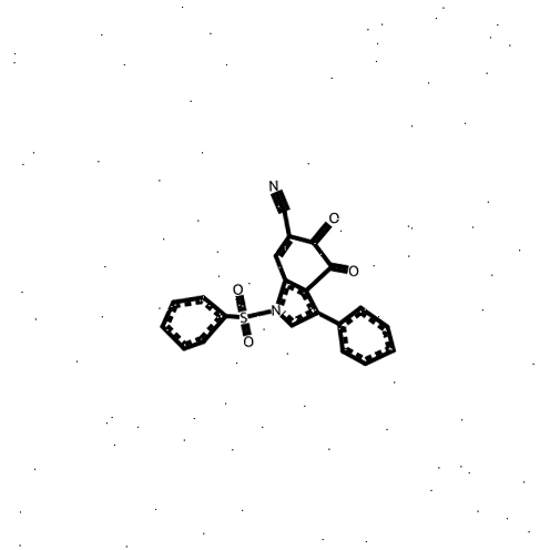 N#CC1=Cc2c(c(-c3ccccc3)cn2S(=O)(=O)c2ccccc2)C(=O)C1=O